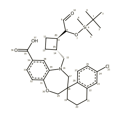 CC(C)(C)[Si](C)(C)OC(C=O)[C@@H]1CC[C@H]1CN1CC2(CCCc3cc(Cl)ccc32)COc2ccc(C(=O)O)cc21